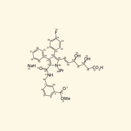 COC(=O)c1cccc(CNC(=O)c2c(-c3ccccc3)c(-c3ccc(F)cc3)c(C=C[C@@H](O)C[C@@H](O)CC(=O)O)n2C(C)C)c1.[NaH]